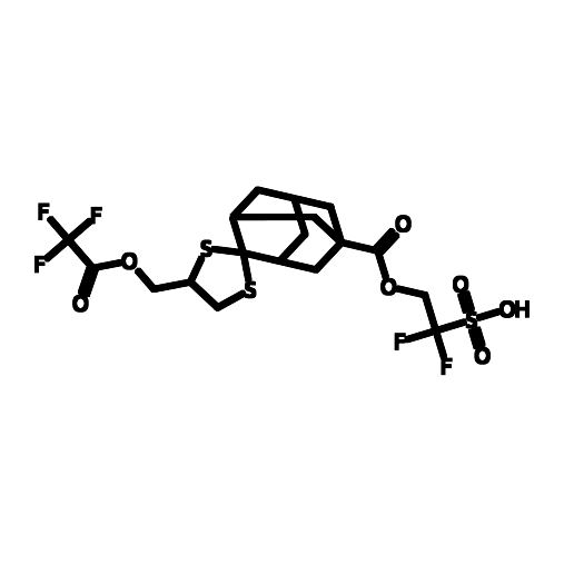 O=C(OCC1CSC2(S1)C1CC3CC2CC(C(=O)OCC(F)(F)S(=O)(=O)O)(C3)C1)C(F)(F)F